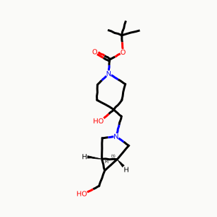 CC(C)(C)OC(=O)N1CCC(O)(CN2C[C@@H]3C(CO)[C@@H]3C2)CC1